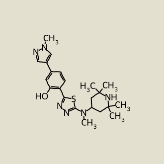 CN(c1nnc(-c2ccc(-c3cnn(C)c3)cc2O)s1)C1CC(C)(C)NC(C)(C)C1